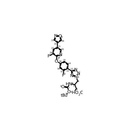 CC(C)(C)OC(=O)NC(CC(=O)O)Cn1nnc(-c2ccc(Oc3ncc(-c4cnoc4)cc3F)cc2F)n1